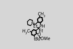 CCC(CC)(Pc1ccc(C)cc1CN1CCCCC1)c1cc(C)cc(C(C)(C)C)c1OCOC